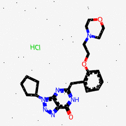 Cl.O=c1[nH]c(Cc2ccccc2OCCN2CCOCC2)nc2c1nnn2C1CCCC1